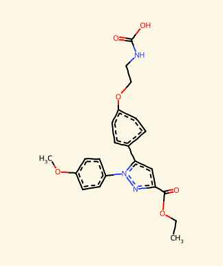 CCOC(=O)c1cc(-c2ccc(OCCNC(=O)O)cc2)n(-c2ccc(OC)cc2)n1